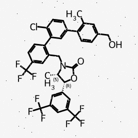 Cc1cc(CO)ccc1-c1ccc(Cl)c(-c2ccc(C(F)(F)F)cc2CN2C(=O)O[C@H](c3cc(C(F)(F)F)cc(C(F)(F)F)c3)[C@@H]2C)c1